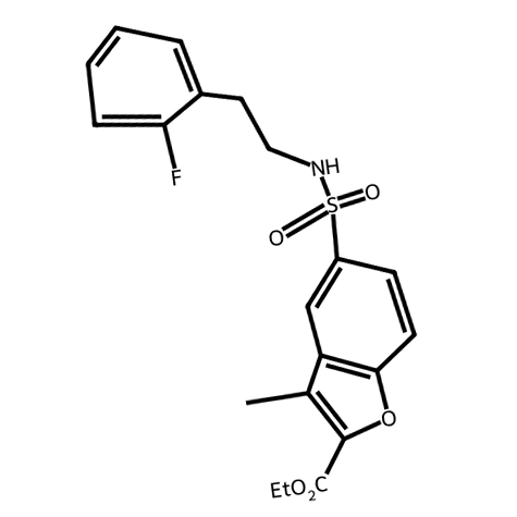 CCOC(=O)c1oc2ccc(S(=O)(=O)NCCc3ccccc3F)cc2c1C